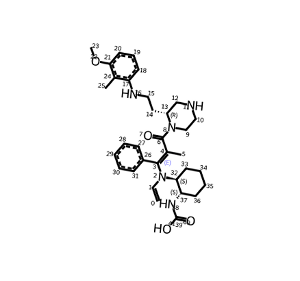 C=CN(/C(=C(\C)C(=O)N1CCNC[C@H]1CCNc1cccc(OC)c1C)c1ccccc1)[C@H]1CCCC[C@@H]1NC(=O)O